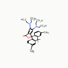 CC(=O)Oc1ccc2c(c1)C(C)(C)c1cc(OC(C)=O)ccc1C21OC(=O)c2cc(N(CC(=O)O)CC(=O)O)c(N(CC(=O)O)CC(=O)O)cc21